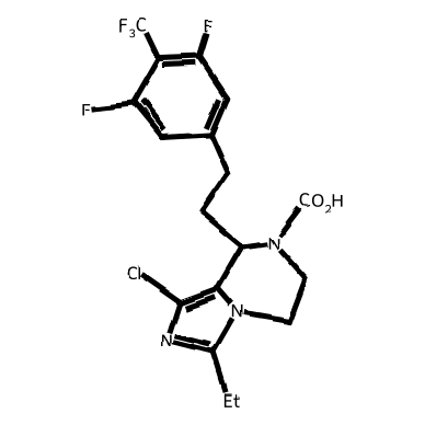 CCc1nc(Cl)c2n1CCN(C(=O)O)C2CCc1cc(F)c(C(F)(F)F)c(F)c1